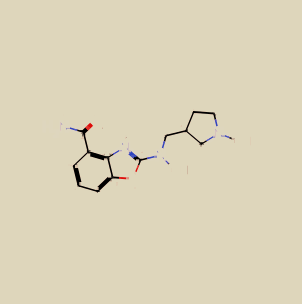 CN1CCC(CN(C)c2nc3c(C(N)=O)[c]ccc3o2)C1